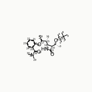 C[C@@H](O[Si](C)(C)C(C)(C)C)[C@H]1C(=O)N[C@@H]1[C@@H](C)C(=S)Oc1ccccc1C(=O)N(C)C